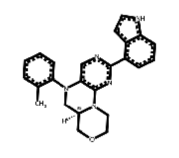 Cc1ccccc1N1C[C@@H]2COCCN2c2nc(-c3cccc4[nH]ccc34)ncc21